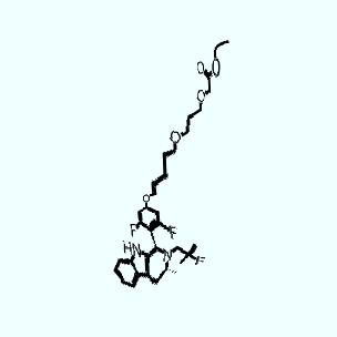 CCOC(=O)COCCCOCCCCCOc1cc(F)c([C@@H]2c3[nH]c4ccccc4c3C[C@@H](C)N2CC(C)(C)F)c(F)c1